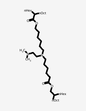 CCCCCCCCC(CCCCCC)COC(=O)CCCCCN(CCCCCCOC(=O)C(CCCCCC)CCCCCCCC)CCN(C)C